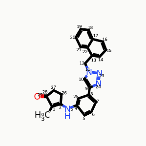 CC1=C(Nc2cccc(-c3cn(Cc4cccc5ccccc45)nn3)c2)CCC1=O